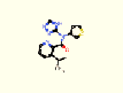 CC(c1cccnc1C(=O)N(c1ccsc1)c1nnc[nH]1)C(F)(F)F